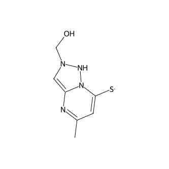 CC1=NC2=CN(CO)NN2C([S])=C1